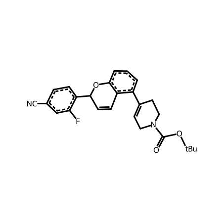 CC(C)(C)OC(=O)N1CC=C(c2cccc3c2C=CC(c2ccc(C#N)cc2F)O3)CC1